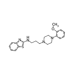 COc1ccccc1N1CCN(CCCNc2nc3ccccc3s2)CC1